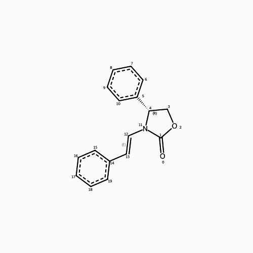 O=C1OC[C@@H](c2ccccc2)N1/C=C/c1ccccc1